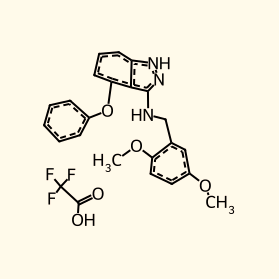 COc1ccc(OC)c(CNc2n[nH]c3cccc(Oc4ccccc4)c23)c1.O=C(O)C(F)(F)F